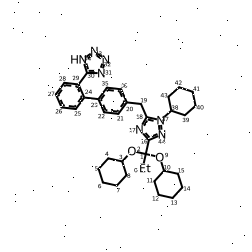 CCC(OC1CCCCC1)(OC1CCCCC1)c1nc(Cc2ccc(-c3ccccc3-c3nnn[nH]3)cc2)n(C2CCCCC2)n1